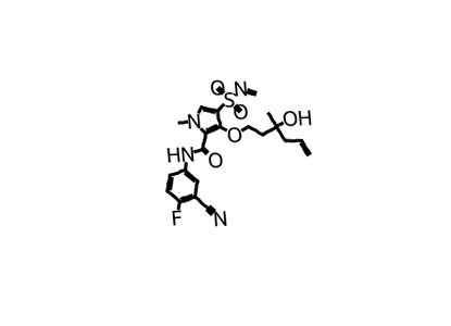 C=CCC(C)(O)CCOc1c(S(=O)(=O)N=C)cn(C)c1C(=O)Nc1ccc(F)c(C#N)c1